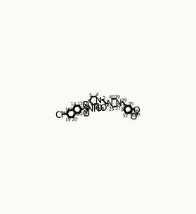 O=C(CN1CCC[C@H](NS(=O)(=O)c2ccc3cc(Cl)ccc3c2)C1=O)N1CCN(Cc2ccc3c(c2)OCO3)CC1